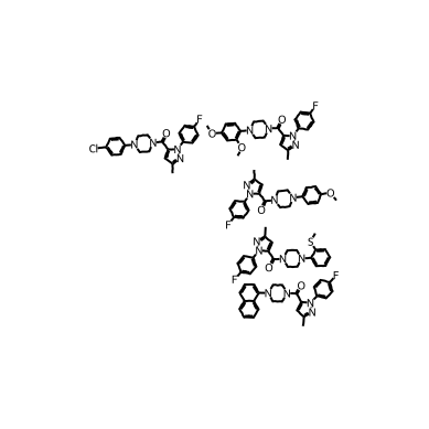 COc1ccc(N2CCN(C(=O)c3cc(C)nn3-c3ccc(F)cc3)CC2)c(OC)c1.COc1ccc(N2CCN(C(=O)c3cc(C)nn3-c3ccc(F)cc3)CC2)cc1.CSc1ccccc1N1CCN(C(=O)c2cc(C)nn2-c2ccc(F)cc2)CC1.Cc1cc(C(=O)N2CCN(c3ccc(Cl)cc3)CC2)n(-c2ccc(F)cc2)n1.Cc1cc(C(=O)N2CCN(c3cccc4ccccc34)CC2)n(-c2ccc(F)cc2)n1